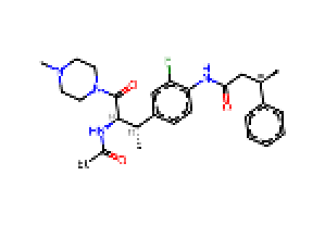 CCC(=O)N[C@@H](C(=O)N1CCN(C)CC1)[C@@H](C)c1ccc(NC(=O)C[C@@H](C)c2ccccc2)c(F)c1